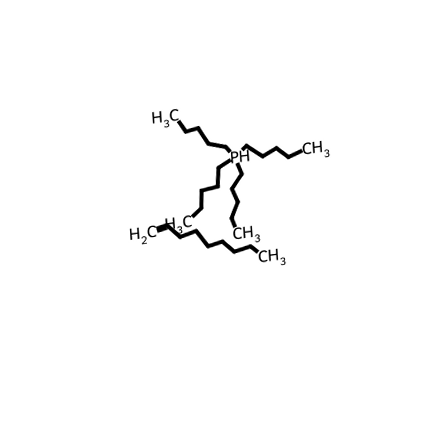 C=CCCCCCCC.CCCCC[PH](CCCCC)(CCCCC)CCCCC